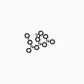 c1ccc(-c2ccc(N(c3ccccc3)c3cccc(N(c4cccc(N(c5ccccc5)c5ccccc5)c4)c4ccc5sc6ccccc6c5c4)c3)cc2)cc1